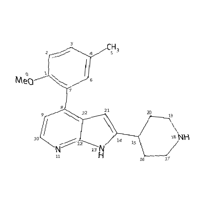 COc1ccc(C)cc1-c1ccnc2[nH]c(C3CCNCC3)cc12